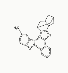 Cc1ccc2oc3c4ccccc4c4nc5c(n4c3c2c1)C1CC2CC(C1)C5C2